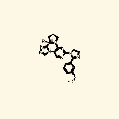 CC[C@@]12CCCN1c1nc(-n3ccnc3-c3cccc(OC(F)(F)F)c3)ncc1-n1cnnc12